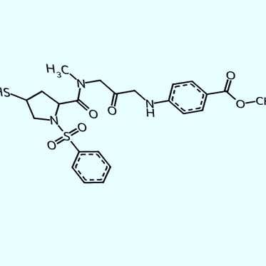 COC(=O)c1ccc(NCC(=O)CN(C)C(=O)C2CC(S)CN2S(=O)(=O)c2ccccc2)cc1